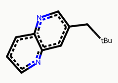 CC(C)(C)Cc1cnc2cccnc2c1